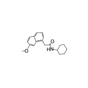 COc1ccc2cccc(CC(=O)NC3CCCCC3)c2c1